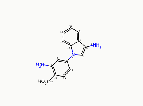 Nc1cc(-n2cc(N)c3ccccc32)ccc1C(=O)O